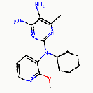 COc1ncccc1N(c1nc(C)c(N)c(N)n1)C1CCCCC1